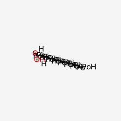 [O]=[Po]([OH])[PoH]=[PoH][Po][Po][Po][Po][Po][Po][Po][Po][Po][Po][Po][Po][PoH]